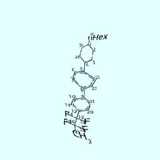 CCCCCCC1CCC(c2ccc(-c3ccc(C(F)(F)C(C)(F)F)cc3)cc2)CC1